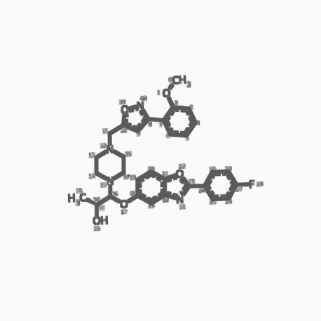 COc1ccccc1-c1cc(CN2CCN(C(Oc3ccc4oc(-c5ccc(F)cc5)nc4c3)[C@H](C)O)CC2)on1